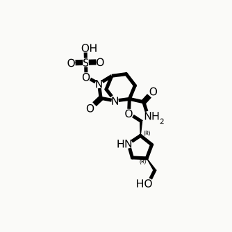 NC(=O)C1(OC[C@H]2C[C@@H](CO)CN2)CCC2CN1C(=O)N2OS(=O)(=O)O